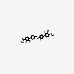 CCOc1ccc(-c2ccc(OCC3CC=C(c4ccc(C(C)O)c(F)c4F)CC3)c(F)c2)c(F)c1F